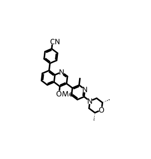 COc1c(-c2ccc(N3C[C@@H](C)O[C@@H](C)C3)nc2C)cnc2c(-c3ccc(C#N)cc3)cccc12